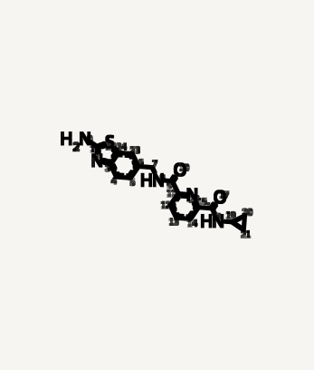 Nc1nc2ccc(CNC(=O)c3cccc(C(=O)NC4CC4)n3)cc2s1